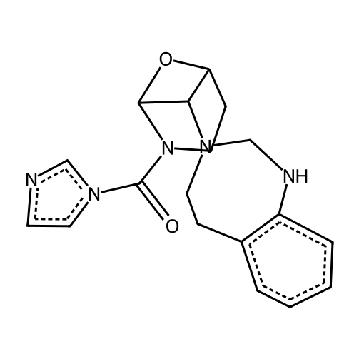 O=C(N1CCC2OC1C2N1CCc2ccccc2NC1)n1ccnc1